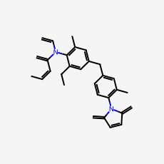 C=CN(C(=C)/C=C\C)c1c(C)cc(Cc2ccc(-n3c(=C)ccc3=C)c(C)c2)cc1CC